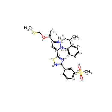 C=C(OCSC)c1cc(-c2nc(-c3cccc(S(C)(=O)=O)c3)ns2)n(-c2ccccc2C(C)C)n1